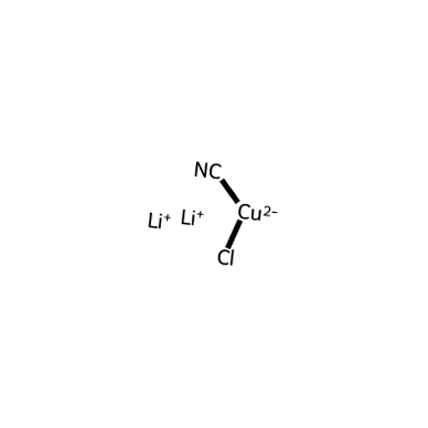 N#[C][Cu-2][Cl].[Li+].[Li+]